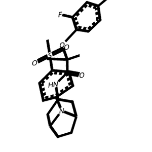 CC(C)(Oc1ccc(F)cc1F)C(=O)NC1CC2CCC(C1)N2c1ccc(S(C)(=O)=O)cc1